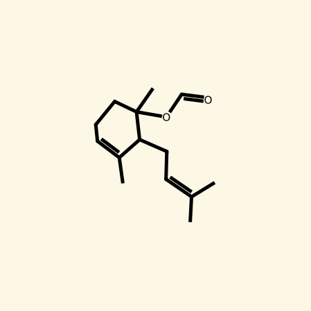 CC(C)=CCC1C(C)=CCCC1(C)OC=O